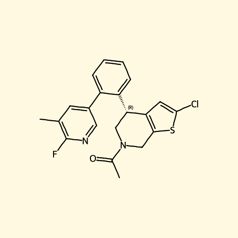 CC(=O)N1Cc2sc(Cl)cc2[C@@H](c2ccccc2-c2cnc(F)c(C)c2)C1